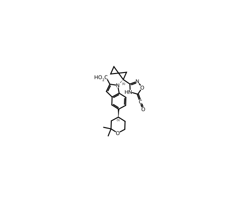 CC1(C)C[C@@H](c2ccc3c(c2)cc(C(=O)O)n3[C@@]2(C3=NOC(=C=O)N3)CC23CC3)CCO1